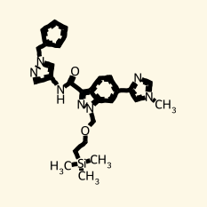 Cn1cnc(-c2ccc3c(C(=O)Nc4cnn(Cc5ccccc5)c4)nn(COCC[Si](C)(C)C)c3c2)c1